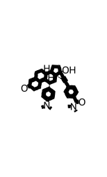 CN(C)C(=O)c1ccc(C#C[C@]2(O)CC[C@H]3[C@@H]4CCC5=CC(=O)CCC5=C4[C@@H](c4ccc(N(C)C)cc4)C[C@@]32C)cc1